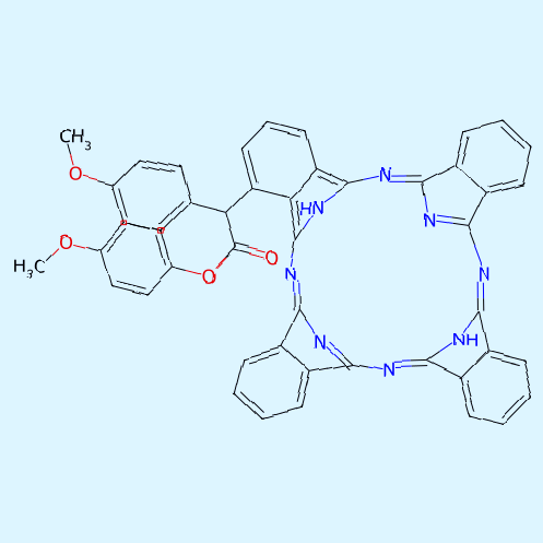 COc1ccc(OC(=O)C(c2ccc(OC)cc2)c2cccc3c4nc5nc(nc6[nH]c(nc7nc(nc([nH]4)c23)-c2ccccc2-7)c2ccccc62)-c2ccccc2-5)cc1